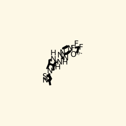 Cc1cc(N2CC3CN[C@@H](Nc4nc5c(O[C@@H](C)C(F)(F)F)nccn5n4)[C@@H]3C2)sn1